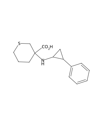 O=C(O)C1(NC2CC2c2ccccc2)CCCSC1